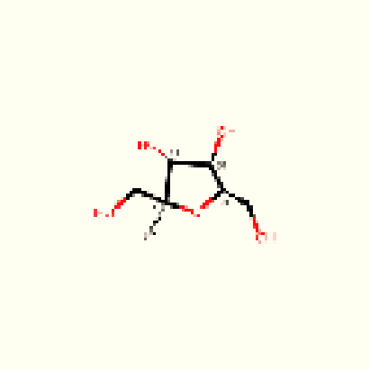 C[C@@]1(CO)O[C@H](CO)[C@H](O)[C@H]1O